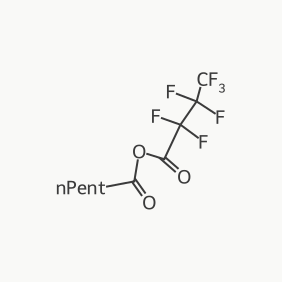 CCCCCC(=O)OC(=O)C(F)(F)C(F)(F)C(F)(F)F